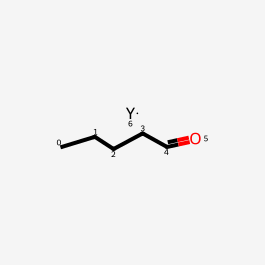 CCCCC=O.[Y]